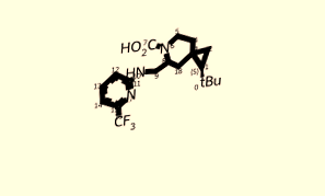 CC(C)(C)[C@@H]1CC12CCN(C(=O)O)C(CNc1cccc(C(F)(F)F)n1)C2